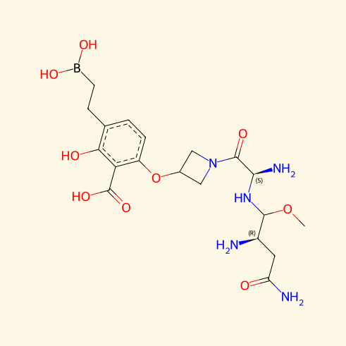 COC(N[C@H](N)C(=O)N1CC(Oc2ccc(CCB(O)O)c(O)c2C(=O)O)C1)[C@H](N)CC(N)=O